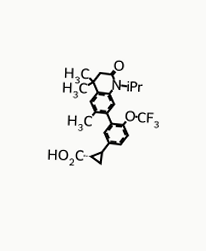 Cc1cc2c(cc1-c1cc(C3C[C@@H]3C(=O)O)ccc1OC(F)(F)F)N(C(C)C)C(=O)CC2(C)C